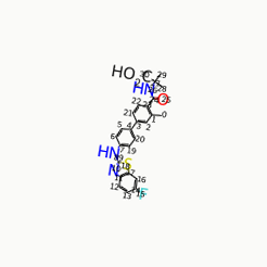 Cc1cc(-c2ccc(Nc3nc4ccc(F)cc4s3)cc2)ccc1C(=O)NC(C)(C)C(=O)O